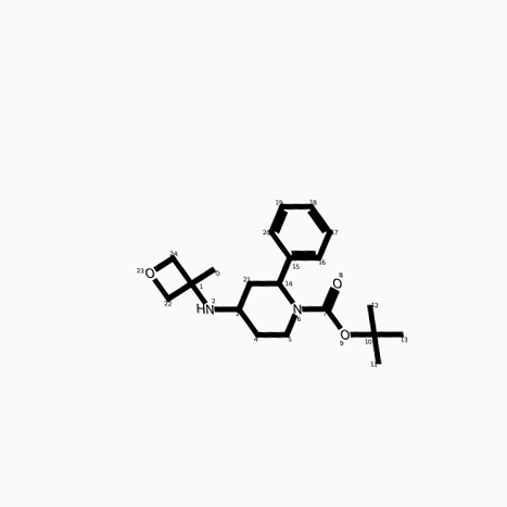 CC1(NC2CCN(C(=O)OC(C)(C)C)C(c3ccccc3)C2)COC1